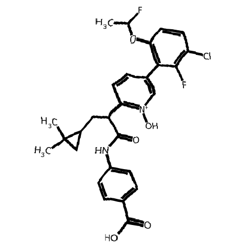 CC(F)Oc1ccc(Cl)c(F)c1-c1ccc(C(CC2CC2(C)C)C(=O)Nc2ccc(C(=O)O)cc2)[n+](O)c1